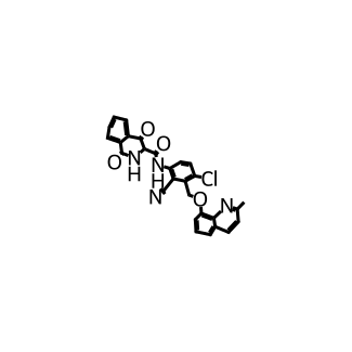 Cc1ccc2cccc(OCc3c(Cl)ccc(NC(=O)C4NC(=O)c5ccccc5C4=O)c3C#N)c2n1